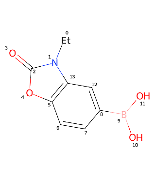 CCn1c(=O)oc2ccc(B(O)O)cc21